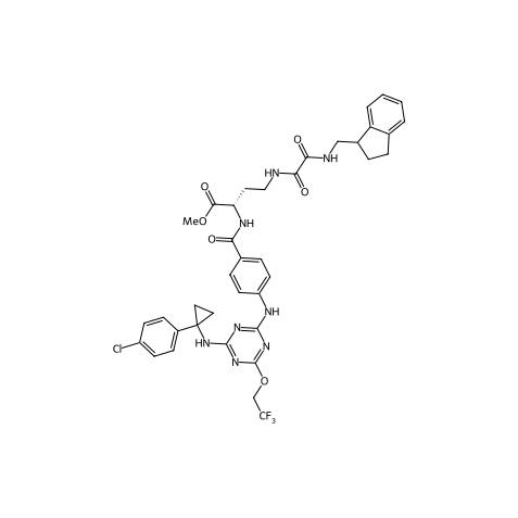 COC(=O)[C@H](CCNC(=O)C(=O)NCC1CCc2ccccc21)NC(=O)c1ccc(Nc2nc(NC3(c4ccc(Cl)cc4)CC3)nc(OCC(F)(F)F)n2)cc1